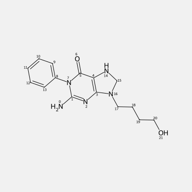 Nc1nc2c(c(=O)n1-c1ccccc1)NCN2CCCCO